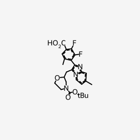 Cc1ccn2c(CC3CN(C(=O)OC(C)(C)C)CCO3)c(-c3c(C)cc(C(=O)O)c(F)c3F)nc2c1